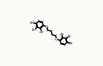 Brc1ccc(OCCCCOc2ccc(Br)c(Br)c2Br)c(Br)c1Br